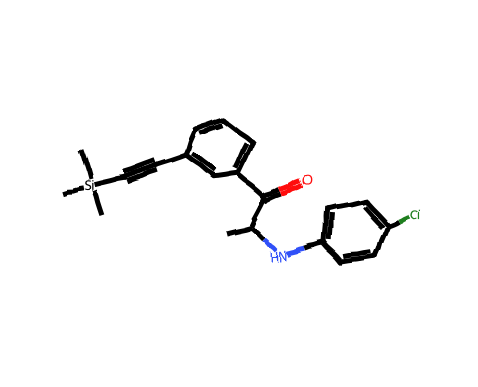 CC(Nc1ccc(Cl)cc1)C(=O)c1cccc(C#C[Si](C)(C)C)c1